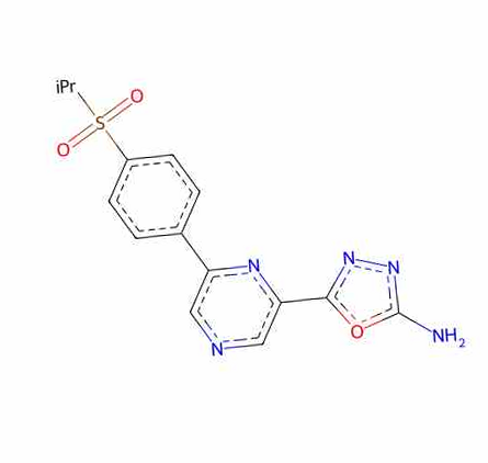 CC(C)S(=O)(=O)c1ccc(-c2cncc(-c3nnc(N)o3)n2)cc1